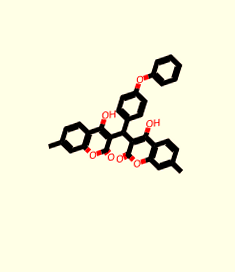 Cc1ccc2c(O)c(C(c3ccc(Oc4ccccc4)cc3)c3c(O)c4ccc(C)cc4oc3=O)c(=O)oc2c1